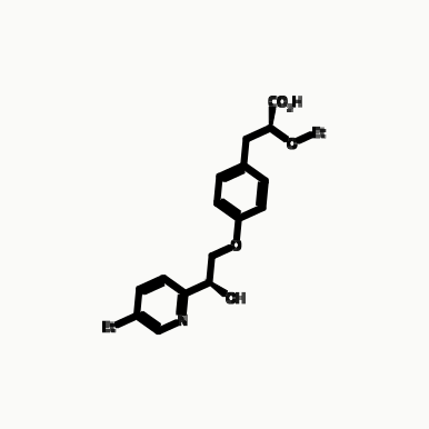 CCO[C@@H](Cc1ccc(OC[C@@H](O)c2ccc(CC)cn2)cc1)C(=O)O